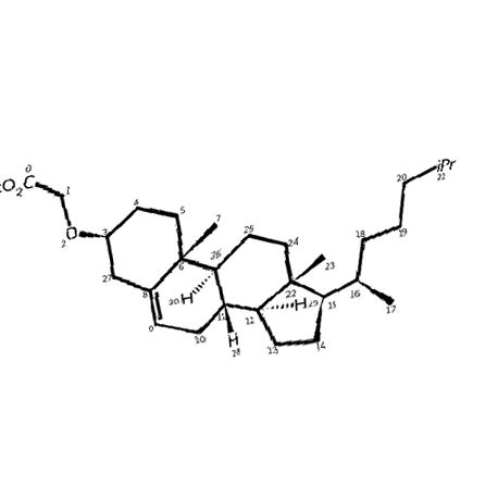 CCOC(=O)CO[C@H]1CC[C@@]2(C)C(=CC[C@H]3[C@@H]4CC[C@H]([C@H](C)CCCC(C)C)[C@@]4(C)CC[C@@H]32)C1